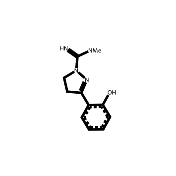 CNC(=N)N1CCC(c2ccccc2O)=N1